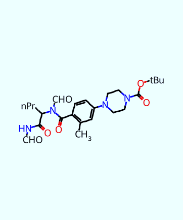 CCCC(C(=O)NC=O)N(C=O)C(=O)c1ccc(N2CCN(C(=O)OC(C)(C)C)CC2)cc1C